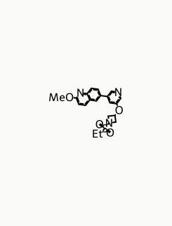 CCS(=O)(=O)N1CC(Oc2cncc(-c3ccc4nc(OC)ccc4c3)c2)C1